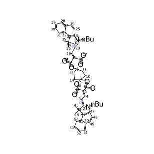 CCCCN1/C(=C\C=C2C(=O)OC3(CCC4(CC3)OC(=O)C(=C/C=C3/N(CCCC)c5ccc6ccccc6c5C3(C)C)C(=O)O4)OC2=O)C(C)(C)c2c1ccc1ccccc21